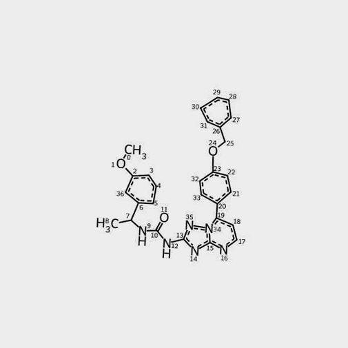 COc1cccc(C(C)NC(=O)Nc2nc3nccc(-c4ccc(OCc5ccccc5)cc4)n3n2)c1